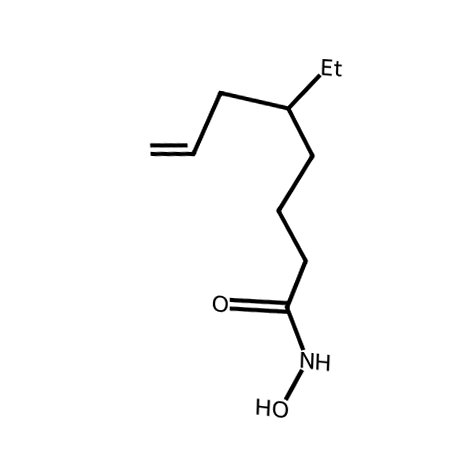 C=CCC(CC)CCCC(=O)NO